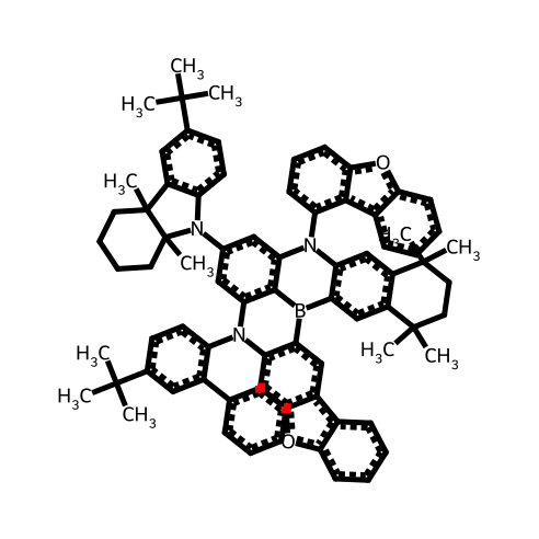 CC(C)(C)c1ccc(N2c3cc4oc5ccccc5c4cc3B3c4cc5c(cc4N(c4cccc6oc7ccccc7c46)c4cc(N6c7ccc(C(C)(C)C)cc7C7(C)CCCCC67C)cc2c43)C(C)(C)CCC5(C)C)c(-c2ccccc2)c1